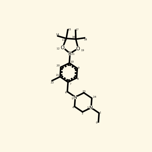 CCN1CCN(Cc2ccc(B3OC(C)(C)C(C)(C)O3)cc2C)CC1